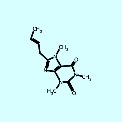 CC=CCc1nc2c(c(=O)n(C)c(=O)n2C)n1C